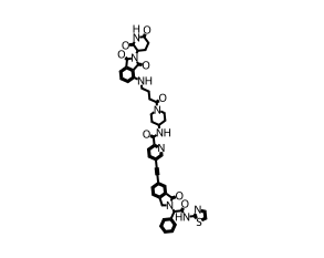 O=C1CCC(N2C(=O)c3cccc(NCCCC(=O)N4CCC(NC(=O)c5ccc(C#Cc6ccc7c(c6)C(=O)N(C(C(=O)Nc6nccs6)c6ccccc6)C7)cn5)CC4)c3C2=O)C(=O)N1